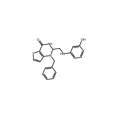 O=C1NC(CNc2cccc(O)c2)N(Cc2ccccc2)c2ccsc21